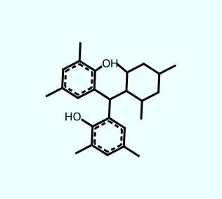 Cc1cc(C)c(O)c(C(c2cc(C)cc(C)c2O)C2C(C)CC(C)CC2C)c1